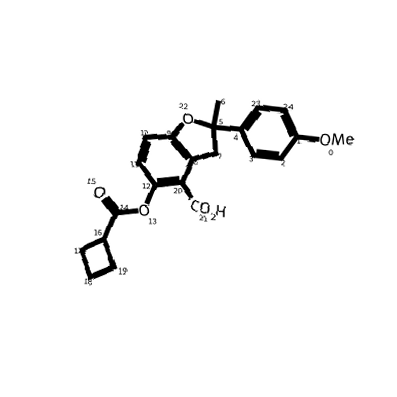 COc1ccc(C2(C)Cc3c(ccc(OC(=O)C4CCC4)c3C(=O)O)O2)cc1